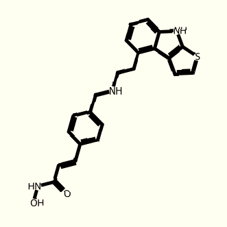 O=C(/C=C/c1ccc(CNCCc2cccc3[nH]c4sccc4c23)cc1)NO